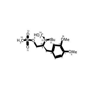 COc1ccc(C[C@@H](COS(C)(=O)=O)N(C(=O)O)C(C)(C)C)cc1OC